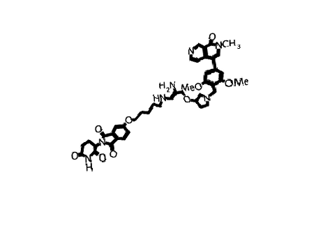 COc1cc(-c2cn(C)c(=O)c3cnccc23)cc(OC)c1CN1CCC(OC/C(N)=C/NCCCCCOc2ccc3c(c2)C(=O)N(C2CCC(=O)NC2=O)C3=O)C1